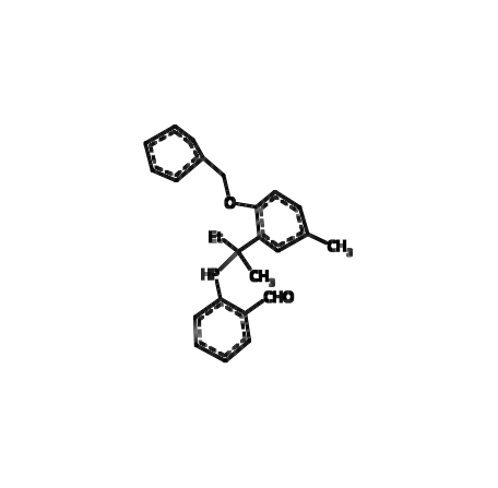 CCC(C)(Pc1ccccc1C=O)c1cc(C)ccc1OCc1ccccc1